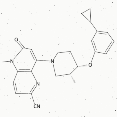 C[C@@H]1CN(c2cc(=O)n(C)c3ccc(C#N)nc23)CC[C@@H]1Oc1cccc(C2CC2)c1